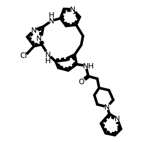 O=C(CC1CCN(c2ccccn2)CC1)Nc1ccc2cc1CCc1cncc(c1)Nc1ncc(Cl)c(n1)N2